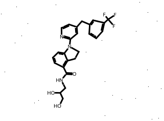 O=C(NCC(O)CO)c1cccc2c1CCN2c1cc(Cc2cccc(C(F)(F)F)c2)ccn1